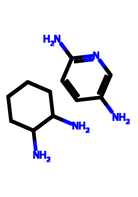 NC1CCCCC1N.Nc1ccc(N)nc1